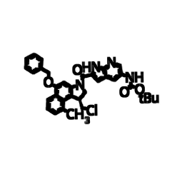 Cc1cccc2c(OCc3ccccc3)cc3c(c12)[C@H](CCl)CN3C(=O)c1cc2cc(NC(=O)OC(C)(C)C)cnc2[nH]1